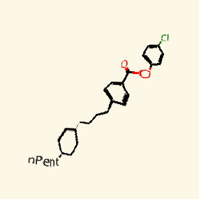 CCCCC[C@H]1CC[C@H](CCCCc2ccc(C(=O)Oc3ccc(Cl)cc3)cc2)CC1